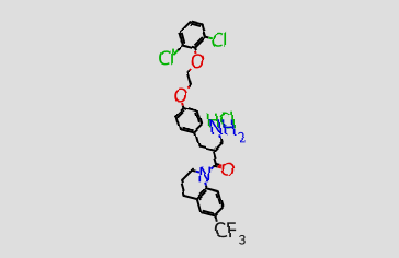 Cl.NCC(Cc1ccc(OCCOc2c(Cl)cccc2Cl)cc1)C(=O)N1CCCc2cc(C(F)(F)F)ccc21